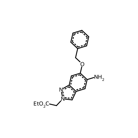 CCOC(=O)Cn1cc2cc(N)c(OCc3ccccc3)cc2n1